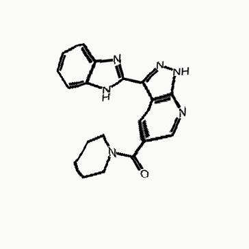 O=C(c1cnc2[nH]nc(-c3nc4ccccc4[nH]3)c2c1)N1CCCCC1